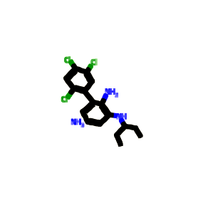 CCC(CC)Nc1cccc(-c2cc(Cl)c(Cl)cc2Cl)c1N.N